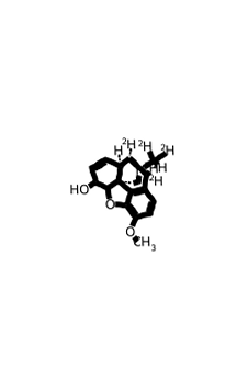 [2H]C([2H])([2H])N1CC[C@]23c4c5ccc(OC)c4OC2C(O)C=C[C@H]3[C@@]1([2H])C5([2H])[2H]